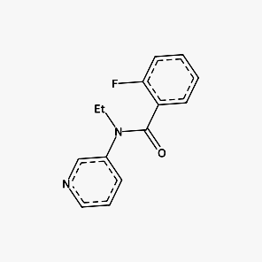 CCN(C(=O)c1ccccc1F)c1cccnc1